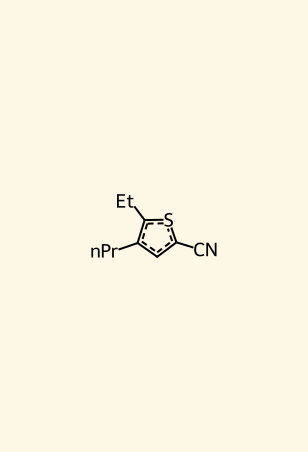 CCCc1cc(C#N)sc1CC